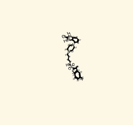 Cc1c(S(=O)(=O)NCCCCN2CCN(c3cccc4[nH]c(=O)[nH]c34)CC2)sc2ccc(F)cc12